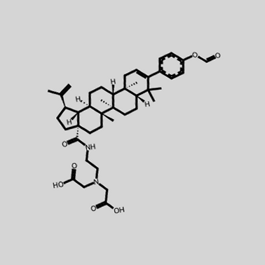 C=C(C)[C@@H]1CC[C@]2(C(=O)NCCN(CC(=O)O)CC(=O)O)CC[C@]3(C)[C@H](CC[C@@H]4[C@@]5(C)CC=C(c6ccc(OC=O)cc6)C(C)(C)[C@@H]5CC[C@]43C)[C@@H]12